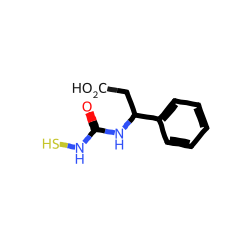 O=C(O)CC(NC(=O)NS)c1ccccc1